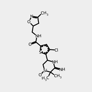 CC1=NOC(CNC(=O)c2cc(Cl)c(C3C[S+]([O-])C(C)(C)C(=N)N3)s2)C1